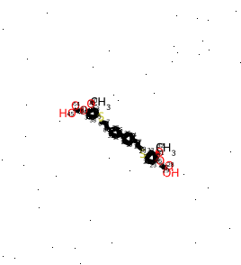 COc1cc(SCCCc2ccc(-c3ccc(CCCSc4ccc(OCC(=O)O)c(OC)c4)cc3)cc2)ccc1OCC(=O)O